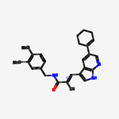 COc1ccc(CNC(=O)/C(C#N)=C/c2c[nH]c3ncc(C4=CCCCC4)cc23)cc1OC